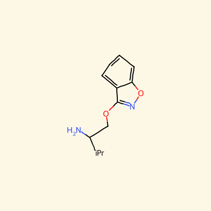 CC(C)C(N)COc1noc2ccccc12